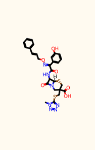 Cn1nnnc1SCC1(C(=O)O)CS[C@@H]2C(NC(=O)C(=NOCC=Cc3ccccc3)c3cccc(O)c3)C(=O)N2C1